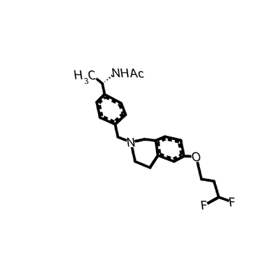 CC(=O)N[C@@H](C)c1ccc(CN2CCc3cc(OCCC(F)F)ccc3C2)cc1